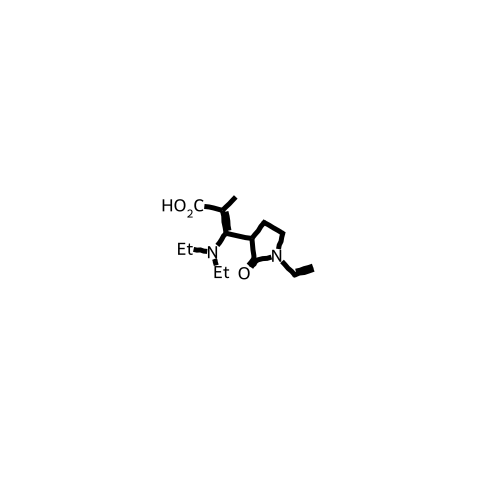 C=CN1CCC(C(=C(C)C(=O)O)N(CC)CC)C1=O